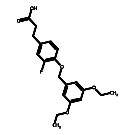 CCOc1cc(COc2ccc(CCC(=O)O)cc2F)cc(OCC)c1